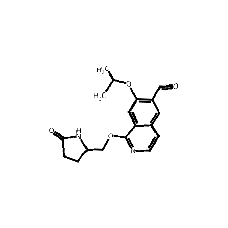 CC(C)Oc1cc2c(OCC3CCC(=O)N3)nccc2cc1C=O